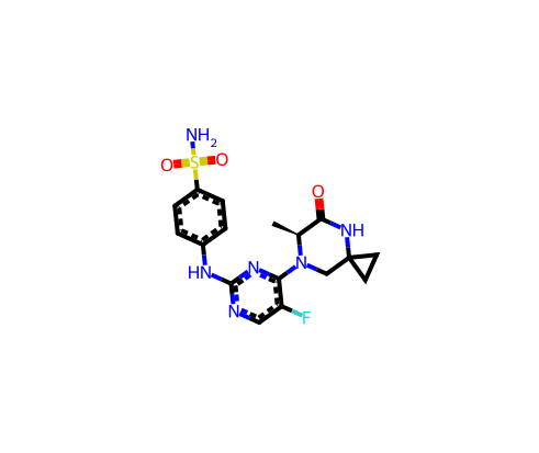 C[C@H]1C(=O)NC2(CC2)CN1c1nc(Nc2ccc(S(N)(=O)=O)cc2)ncc1F